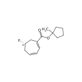 CC1(OC(=O)C2=CC=CC[C@H](F)C2)CCCC1